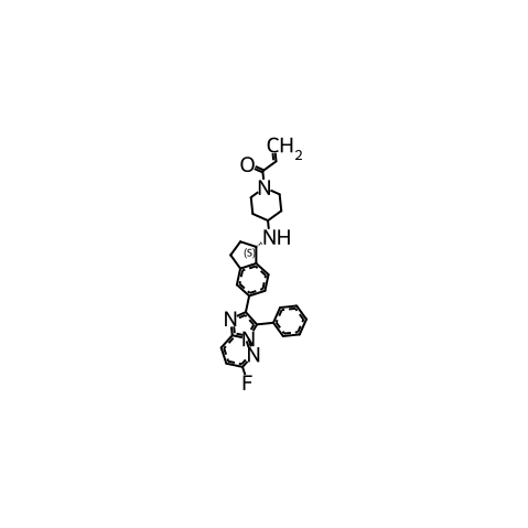 C=CC(=O)N1CCC(N[C@H]2CCc3cc(-c4nc5ccc(F)nn5c4-c4ccccc4)ccc32)CC1